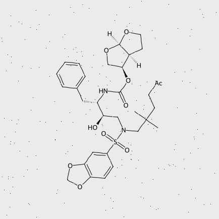 CC(=O)CCC(C)(C)CN(C[C@@H](O)[C@H](Cc1ccccc1)NC(=O)O[C@H]1CO[C@H]2OCC[C@H]21)S(=O)(=O)c1ccc2c(c1)OCO2